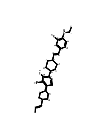 C/C=C/C1CCC(c2ccc(C3CCC(/C=C/c4ccc(OCC)c(F)c4)CC3)c(F)c2F)CC1